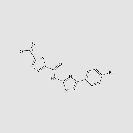 O=C(Nc1nc(-c2ccc(Br)cc2)cs1)c1ccc([N+](=O)[O-])s1